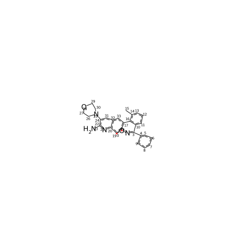 CO/N=C(/c1ccccc1)c1cccc(C)c1-c1ccc2nc(N)c(N3CCOCC3)cc2c1